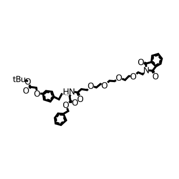 CC(C)(C)OC(=O)COc1ccc(CC[C@H](NC(=O)CCOCCOCCOCCOCCN2C(=O)c3ccccc3C2=O)C(=O)OCc2ccccc2)cc1